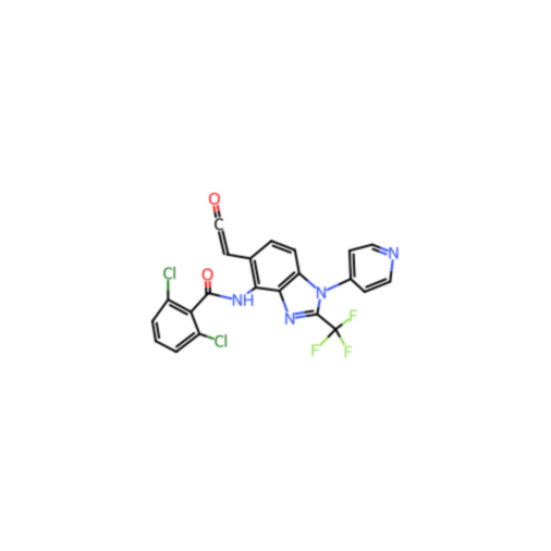 O=C=Cc1ccc2c(nc(C(F)(F)F)n2-c2ccncc2)c1NC(=O)c1c(Cl)cccc1Cl